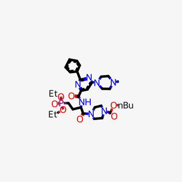 CCCCOC(=O)N1CCN(C(=O)C(CCP(=O)(OCC)OCC)NC(=O)c2cc(N3CCN(C)CC3)nc(-c3ccccc3)n2)CC1